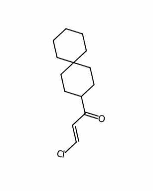 O=C(C=CCl)C1CCC2(CCCCC2)CC1